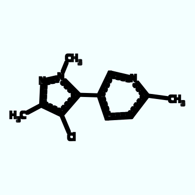 Cc1ccc(-c2c(Cl)c(C)nn2C)cn1